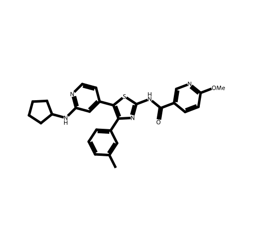 COc1ccc(C(=O)Nc2nc(-c3cccc(C)c3)c(-c3ccnc(NC4CCCC4)c3)s2)cn1